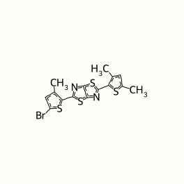 Cc1cc(C)c(-c2nc3sc(-c4sc(Br)cc4C)nc3s2)s1